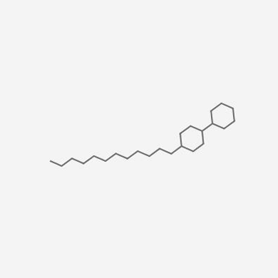 CCCCCCCCCCCCC1CCC(C2CCCCC2)CC1